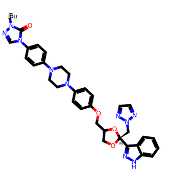 CCC(C)n1ncn(-c2ccc(N3CCN(c4ccc(OCC5CO[C@@](Cn6nccn6)(c6n[nH]c7ccccc67)O5)cc4)CC3)cc2)c1=O